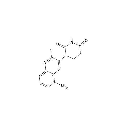 Cc1nc2cccc(N)c2cc1C1CCC(=O)NC1=O